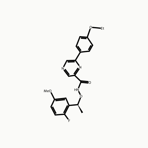 CCOc1ccc(-c2cncc(C(=O)NO[C@@H](C)c3cc(OC)ccc3F)n2)cc1